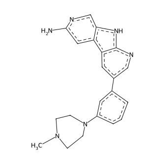 CN1CCN(c2cccc(-c3cnc4[nH]c5cnc(N)cc5c4c3)c2)CC1